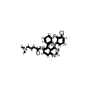 CN(C)C/C=C/C(=O)Nc1ccc2ncnc(Nc3cccc(Cl)c3F)c2c1-c1ccccc1